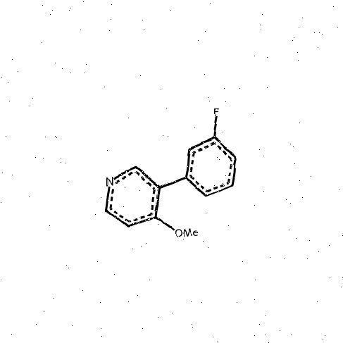 COc1ccncc1-c1cccc(F)c1